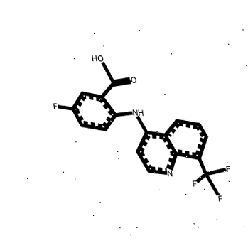 O=C(O)c1cc(F)ccc1Nc1ccnc2c(C(F)(F)F)cccc12